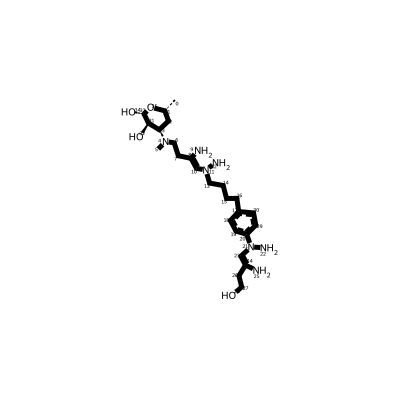 C[C@@H]1C[C@H](N(C)CC/C(N)=C/N(N)CCCCc2ccc(N(N)/C=C(\N)CCO)cc2)[C@@H](O)[C@H](O)O1